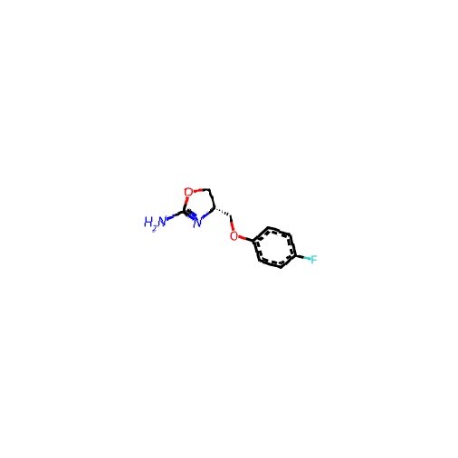 NC1=N[C@@H](COc2ccc(F)cc2)CO1